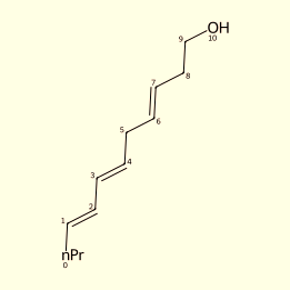 CCC/C=C/C=C/C/C=C/CCO